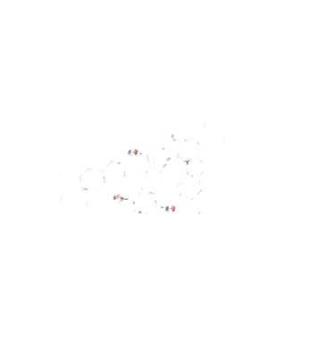 Oc1c(O)c(O)c2c(oc3c(O)c(O)c(O)c(-c4c5c(O)c(O)c(O)c(O)c5c(-c5c(O)c(O)c6c(O)c(O)c(O)c(O)c6c5O)c5c(O)c(O)c(O)c(O)c45)c32)c1O